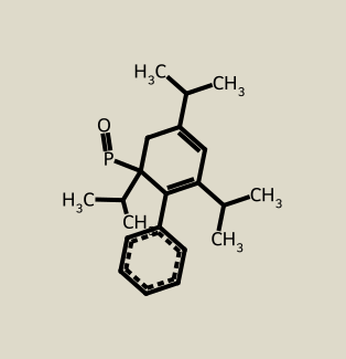 CC(C)C1=CC(C(C)C)=C(c2ccccc2)C(P=O)(C(C)C)C1